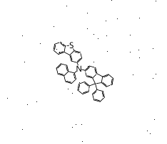 c1ccc(C2(c3ccccc3)c3ccccc3-c3ccc(N(c4ccc5sc6ccccc6c5c4)c4cccc5ccccc45)cc32)cc1